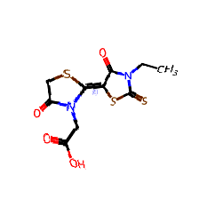 CCN1C(=O)/C(=C2\SCC(=O)N2CC(=O)O)SC1=S